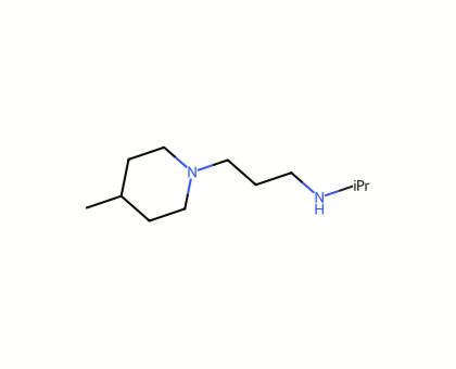 CC1CCN(CCCNC(C)C)CC1